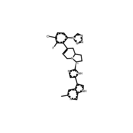 Cc1cc2c(-c3cnc([C@@H]4CCC5CC(c6c(-n7cnnn7)ccc(Cl)c6F)=CCN54)[nH]3)c[nH]c2cn1